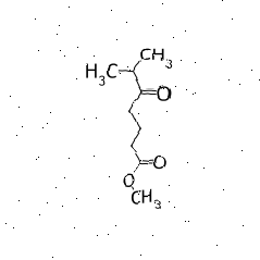 COC(=O)CCCC(=O)C(C)C